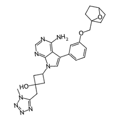 Cn1nnnc1CC1(O)CC(n2cc(-c3cccc(OCC45CCC(CC4)O5)c3)c3c(N)ncnc32)C1